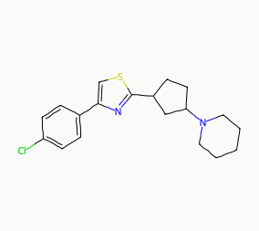 Clc1ccc(-c2csc(C3CCC(N4CCCCC4)C3)n2)cc1